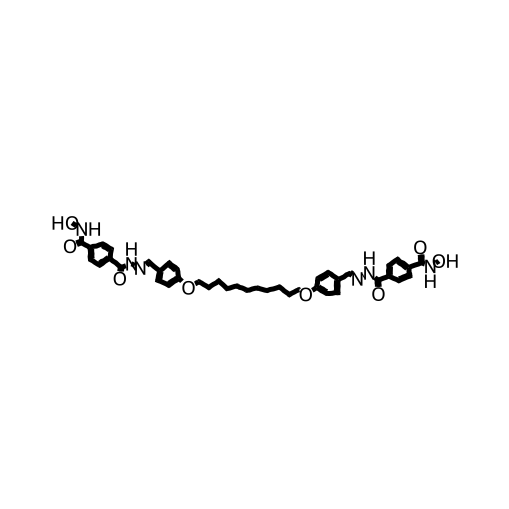 O=C(NO)c1ccc(C(=O)N/N=C/c2ccc(OCCCCCCCCCCCOc3ccc(/C=N/NC(=O)c4ccc(C(=O)NO)cc4)cc3)cc2)cc1